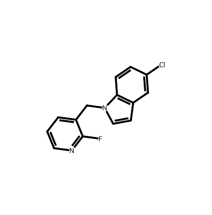 Fc1ncccc1Cn1ccc2cc(Cl)ccc21